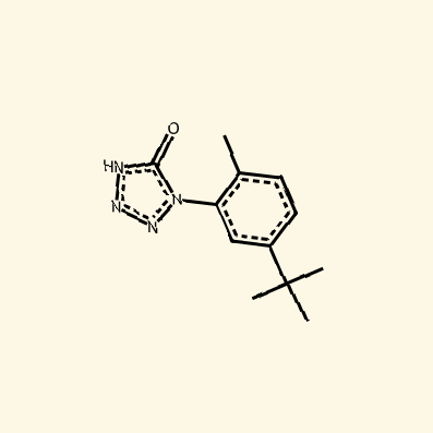 Cc1ccc(C(C)(C)C)cc1-n1nn[nH]c1=O